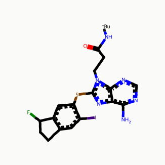 CC(C)(C)NC(=O)CCn1c(Sc2cc3c(cc2I)CCC3F)nc2c(N)ncnc21